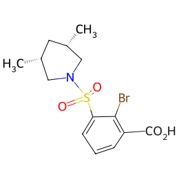 C[C@@H]1C[C@H](C)CN(S(=O)(=O)c2cccc(C(=O)O)c2Br)C1